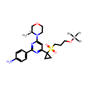 CC(C)[Si](OCCCS(=O)(=O)C1(c2cc(N3CCOC[C@@H]3C)nc(-c3ccc(N)cc3)n2)CC1)(C(C)C)C(C)C